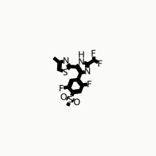 Cc1csc(-c2[nH]c(C(F)F)nc2-c2cc(F)c(S(C)(=O)=O)cc2F)n1